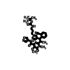 COc1c(C(=O)Nc2cnoc2)nc(C(C)C(c2cnn(CCCNC(=O)OC(C)(C)C)c2)c2ccccc2C#N)n(C)c1=O